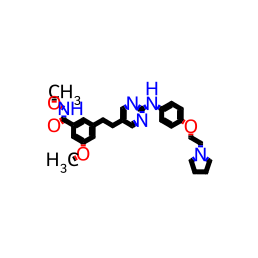 CONC(=O)c1cc(CCc2cnc(Nc3ccc(OCCN4CCCC4)cc3)nc2)cc(OC)c1